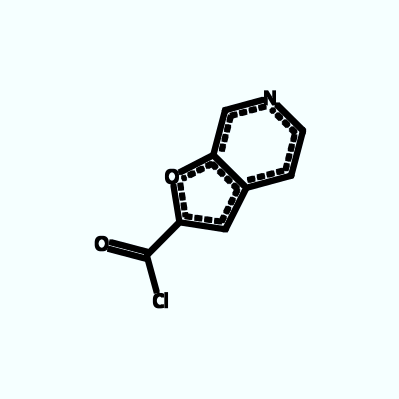 O=C(Cl)c1cc2ccncc2o1